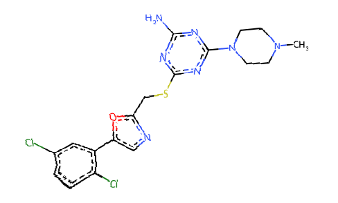 CN1CCN(c2nc(N)nc(SCc3ncc(-c4cc(Cl)ccc4Cl)o3)n2)CC1